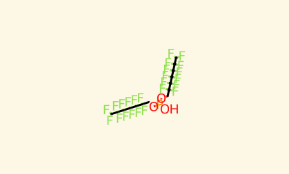 OP(OCC(F)(F)C(F)(F)C(F)(F)C(F)(F)C(F)(F)C(F)F)OCC(F)(F)C(F)(F)C(F)(F)C(F)(F)C(F)(F)C(F)F